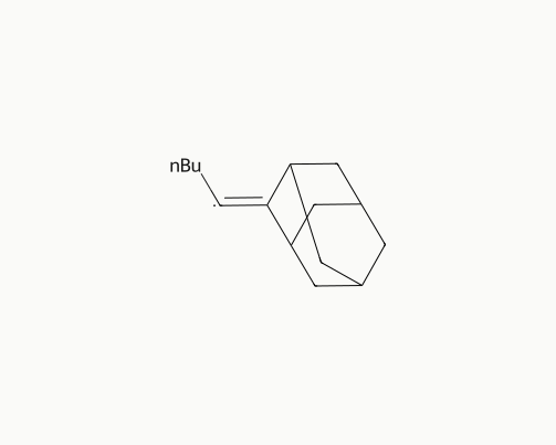 CCCC[C]=C1C2CC3CC(C2)CC1C3